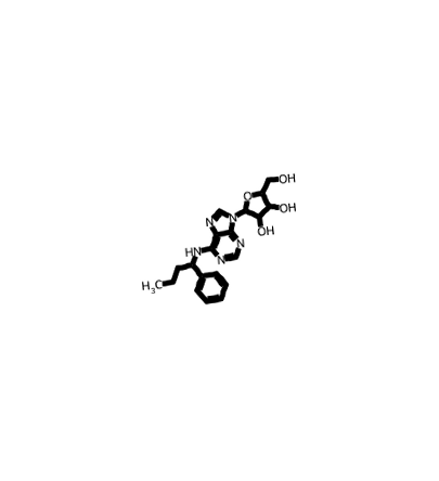 CCCC(Nc1ncnc2c1ncn2C1OC(CO)C(O)C1O)c1ccccc1